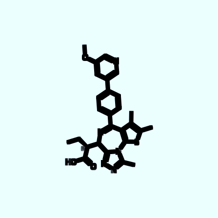 CC[C@H](C(=O)O)C1N=C(c2ccc(-c3cncc(OC)c3)cc2)c2c(sc(C)c2C)-n2c(C)nnc21